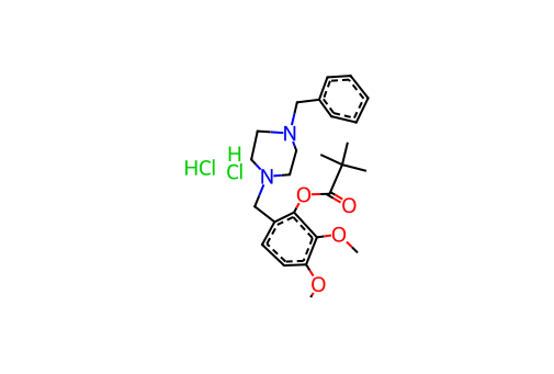 COc1ccc(CN2CCN(Cc3ccccc3)CC2)c(OC(=O)C(C)(C)C)c1OC.Cl.Cl